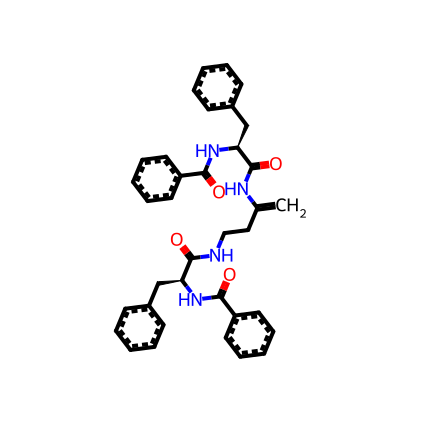 C=C(CCNC(=O)[C@H](Cc1ccccc1)NC(=O)c1ccccc1)NC(=O)[C@H](Cc1ccccc1)NC(=O)c1ccccc1